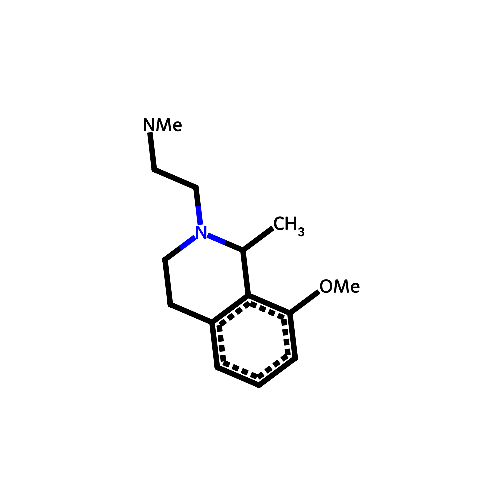 CNCCN1CCc2cccc(OC)c2C1C